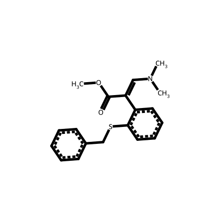 COC(=O)/C(=C/N(C)C)c1ccccc1SCc1ccccc1